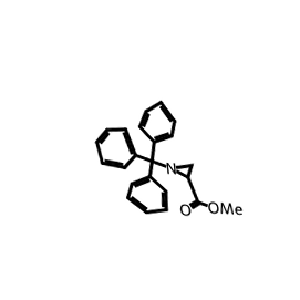 COC(=O)C1CN1C(c1ccccc1)(c1ccccc1)c1ccccc1